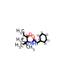 CCC(=O)C(NC(=O)CC1CCCCC1)C(C)(C)C